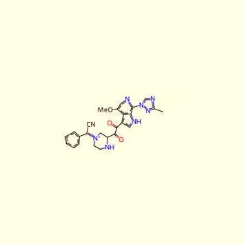 COc1cnc(-n2cnc(C)n2)c2[nH]cc(C(=O)C(=O)C3C/[N+](=C(\C#N)c4ccccc4)CCN3)c12